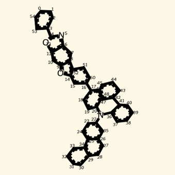 c1ccc(-c2nc3cc4c(cc3o2)oc2cc(-c3ccc(N(c5ccc6c(ccc7ccccc76)c5)c5ccccc5-c5ccccc5)cc3)ccc24)cc1